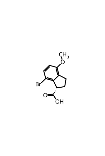 COc1ccc(Br)c2c1CC[C@@H]2C(=O)O